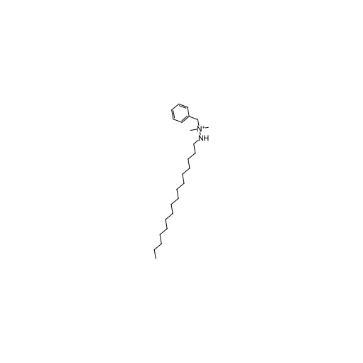 CCCCCCCCCCCCCCCCN[N+](C)(C)Cc1ccccc1